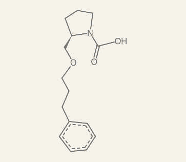 O=C(O)N1CCC[C@@H]1COCCCc1ccccc1